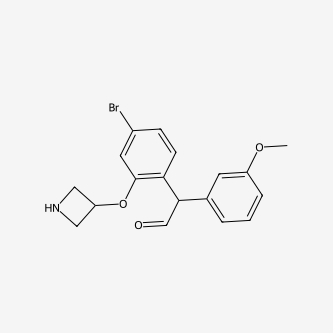 COc1cccc(C(C=O)c2ccc(Br)cc2OC2CNC2)c1